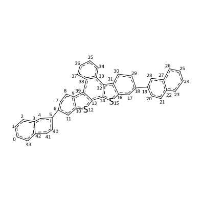 c1ccc2cc(-c3ccc4c(c3)sc3c5sc6cc(-c7ccc8ccccc8c7)ccc6c5c5ccccc5c43)ccc2c1